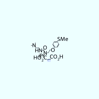 CSc1ccc(OCCN(C(=O)NCCN(C)C)C(C)C)cc1.O=C(O)/C=C\C(=O)O